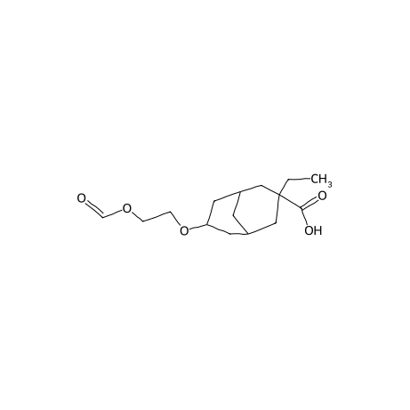 CCC1(C(=O)O)CC2CC(CC(OCCOC=O)C2)C1